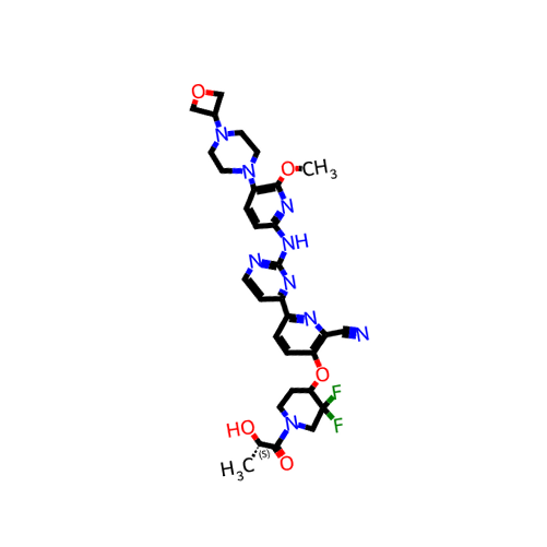 COc1nc(Nc2nccc(-c3ccc(OC4CCN(C(=O)[C@H](C)O)CC4(F)F)c(C#N)n3)n2)ccc1N1CCN(C2COC2)CC1